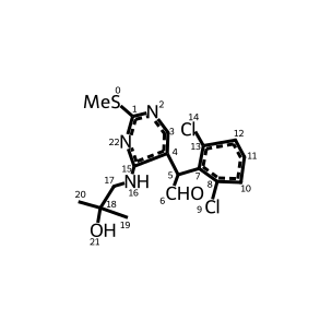 CSc1ncc(C(C=O)c2c(Cl)cccc2Cl)c(NCC(C)(C)O)n1